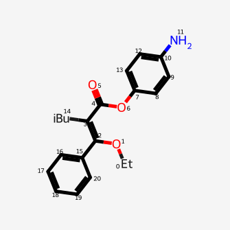 CCOC(=C(C(=O)Oc1ccc(N)cc1)C(C)CC)c1ccccc1